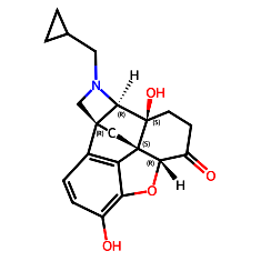 O=C1CC[C@@]2(O)[C@@H]3N(CC4CC4)C[C@]34C[C@@]23c2c4ccc(O)c2O[C@@H]13